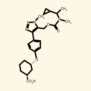 CC(C1CC1)N(C)C(=O)OCc1c(-c2ccc(O[C@H]3CCC[C@H](C(=O)O)C3)cc2)nnn1C